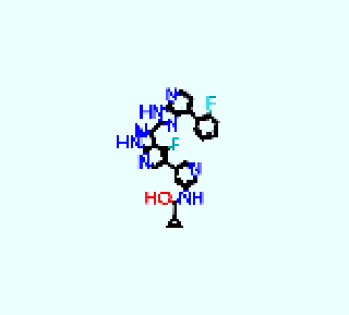 OC(Nc1cncc(-c2cnc3[nH]nc(-c4nc5c(-c6ccccc6F)ccnc5[nH]4)c3c2F)c1)C1CC1